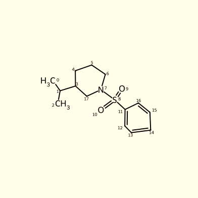 CC(C)C1CCCN(S(=O)(=O)c2ccccc2)C1